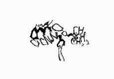 C[Si](C)(C)CCOC(C1CCNCC1)n1cnc2c(-c3cccc(Cl)c3Cl)[nH]nc2c1=O